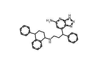 Nc1cc(C(CCNC2CCC(c3ccccc3)c3ccccc32)c2ccccc2)c2nn[nH]c2n1